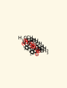 CC(C)(C)OOC(=O)c1cccc(C(=O)c2cccc(C(=O)OOC(C)(C)C)c2C(=O)OOC(C)(C)C)c1C(=O)OOC(C)(C)C